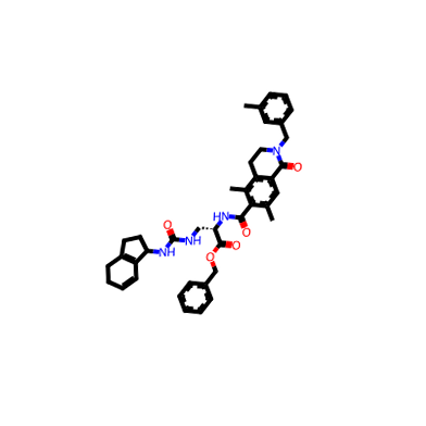 Cc1cccc(CN2CCc3c(cc(C)c(C(=O)N[C@@H](CNC(=O)NC4CCC5=C4C=CCC5)C(=O)OCc4ccccc4)c3C)C2=O)c1